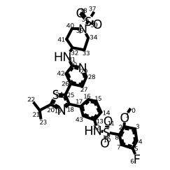 COc1ccc(F)cc1S(=O)(=O)Nc1cccc(-c2nc(C(C)C)sc2-c2ccnc(NC3CCN(S(C)(=O)=O)CC3)c2)c1